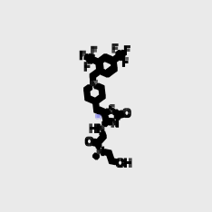 CN(CCO)C(=O)CNC1=NC(=O)S/C1=C\C1CCN(Cc2ccc(C(F)(F)F)cc2C(F)(F)F)CC1